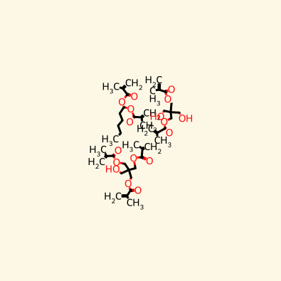 C=C(C)C(=O)OC(CCCCC)OC(=O)C(=C)C.C=C(C)C(=O)OCC(CO)(CO)COC(=O)C(=C)C.C=C(C)C(=O)OCC(CO)(COC(=O)C(=C)C)COC(=O)C(=C)C